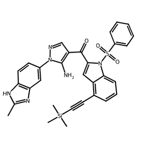 Cc1nc2cc(-n3ncc(C(=O)c4cc5c(C#C[Si](C)(C)C)cccc5n4S(=O)(=O)c4ccccc4)c3N)ccc2[nH]1